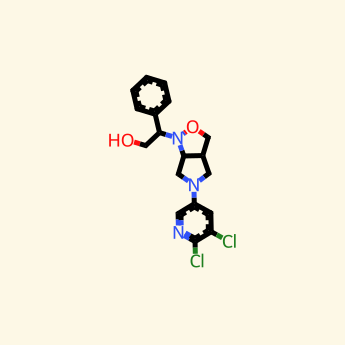 OCC(c1ccccc1)N1OCC2CN(c3cnc(Cl)c(Cl)c3)CC21